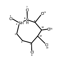 ClC1CC[SiH](Cl)[SiH](Cl)C(Cl)C(Cl)C1Cl